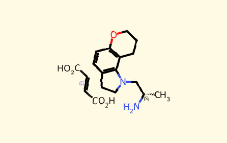 C[C@H](N)CN1CCc2ccc3c(c21)CCCO3.O=C(O)/C=C/C(=O)O